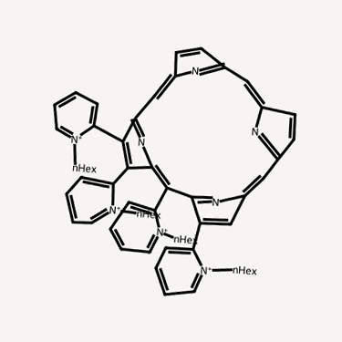 CCCCCC[n+]1ccccc1C1=CC2=CC3=NC(=CC4=NC(=CC5=NC(=C(c6cccc[n+]6CCCCCC)C1=N2)C(c1cccc[n+]1CCCCCC)=C5c1cccc[n+]1CCCCCC)C=C4)C=C3